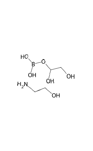 NCCO.OCC(O)OB(O)O